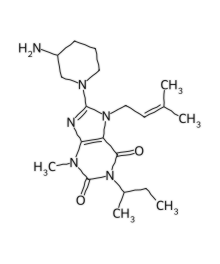 CCC(C)n1c(=O)c2c(nc(N3CCCC(N)C3)n2CC=C(C)C)n(C)c1=O